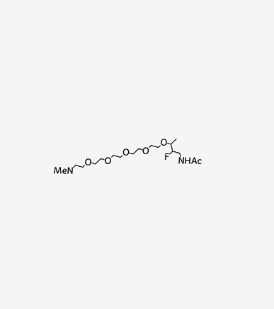 CNCCOCCOCCOCCOCCOC(C)C(F)CNC(C)=O